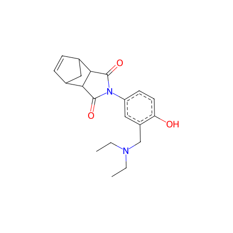 CCN(CC)Cc1cc(N2C(=O)C3C4C=CC(C4)C3C2=O)ccc1O